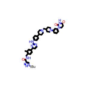 Cc1cc(-c2ccnc(Nc3ccc(C4CCN(CC5CCN(c6cccc(N7CCC(=O)NC7=O)c6)CC5)CC4)cc3)n2)ccc1CNC(=O)c1cn(C(C)(C)C)nn1